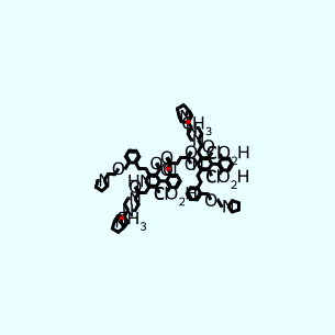 CN1C2CCC1CC(N1CCN(C(=O)CC3=C(C(=O)O)C(c4c(Cl)cccc4Cl)C(C(=O)OC(=O)CCC(=O)ON4C(CCc5ccccc5COCCN5CCCC5)=C(C(=O)O)C(c5c(Cl)cccc5Cl)C(C(=O)O)=C4CC(=O)N4CCN(C5CC6CCC(C5)N6C)CC4)=C(CCc4ccccc4COCCN4CCCC4)N3)CC1)C2